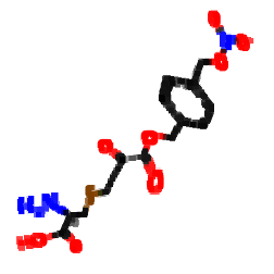 N[C@@H](CSCC(=O)C(=O)OCc1ccc(CO[N+](=O)[O-])cc1)C(=O)O